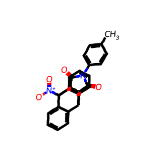 Cc1ccc(N2C(=O)C3=C(C2=O)C2([N+](=O)[O-])c4ccccc4C3c3ccccc32)cc1